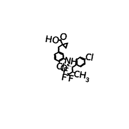 C[C@H]([C@H](C(=O)Nc1cc(CC2(C(=O)O)CC2)ccc1Cl)c1ccc(Cl)cc1)C(F)(F)F